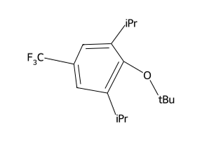 CC(C)c1cc(C(F)(F)F)cc(C(C)C)c1OC(C)(C)C